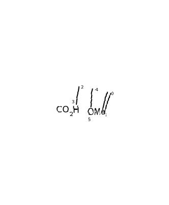 C=C.CC(=O)O.COC